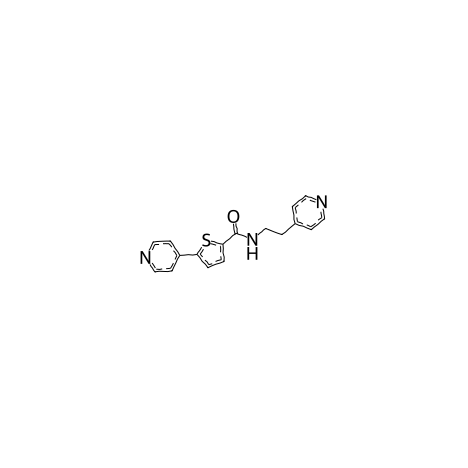 O=C(NCCc1ccncc1)c1ccc(-c2ccncc2)s1